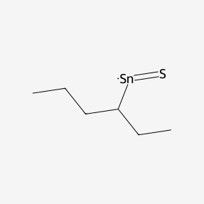 CCC[CH](CC)[Sn]=[S]